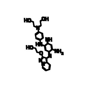 N=C1C=C(N)C(=Nc2c(OCCO)nn3ccccc23)C=C1Nc1ccc(N(CCO)CCO)cc1